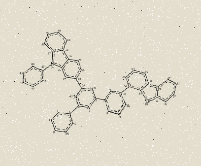 c1ccc(-c2nc(-c3cccc(-c4cccc5c4oc4ccccc45)c3)nc(-c3ccc4c5ccccc5n(-c5ccccc5)c4c3)n2)cc1